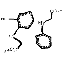 N#Cc1ccccc1NCC(=O)O.O=C(O)CNc1ccccc1